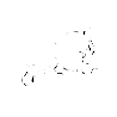 O=C1NCCCCOCc2cc(ccc2OCC2CCc3ccccc32)Nc2nccc(n2)-c2ccc1cc2[N+](=O)[O-]